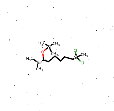 C[SiH](C)C(CCCCC[Si](C)(Cl)Cl)O[Si](C)(C)C